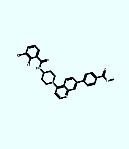 COC(=O)c1ccc(-c2ccc3c(N4CCC(NC(=O)c5cccc(Cl)c5Cl)CC4)ccnc3c2)cc1